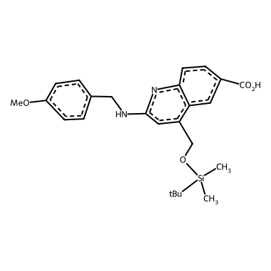 COc1ccc(CNc2cc(CO[Si](C)(C)C(C)(C)C)c3cc(C(=O)O)ccc3n2)cc1